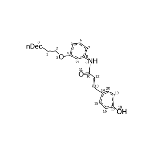 CCCCCCCCCCCCOc1cccc(NC(=O)/C=C/c2ccc(O)cc2)c1